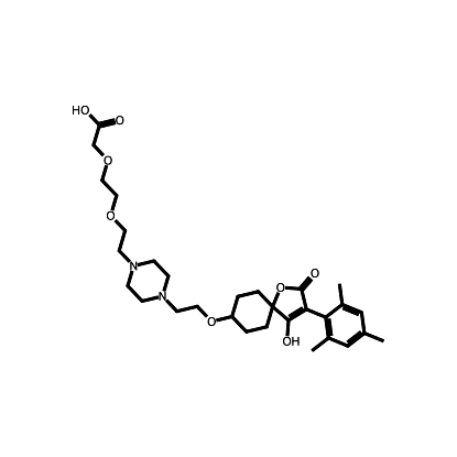 Cc1cc(C)c(C2=C(O)C3(CCC(OCCN4CCN(CCOCCOCC(=O)O)CC4)CC3)OC2=O)c(C)c1